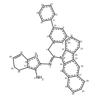 Nc1c(/N=C(\Cc2cccc(-c3ccccc3)c2)n2c3ccccc3c3cc4ccccc4cc32)oc2c1CCC=C2